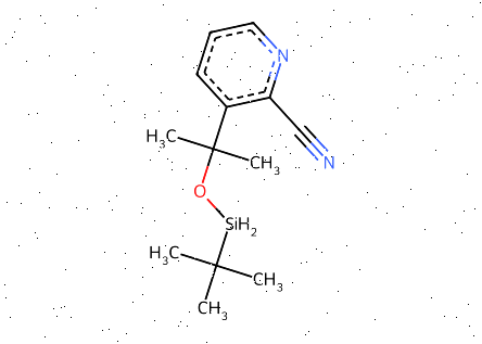 CC(C)(C)[SiH2]OC(C)(C)c1cccnc1C#N